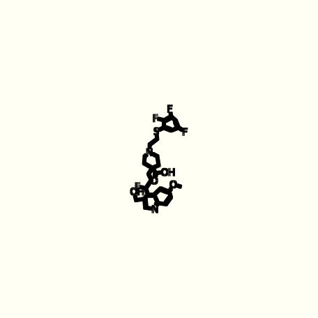 COc1ccc2ncc(CO)c(C(F)CCC3(C(=O)O)CCN(CCSc4cc(F)cc(F)c4F)CC3)c2c1